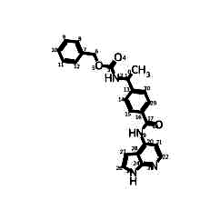 CC(NC(=O)OCc1ccccc1)c1ccc(C(=O)Nc2ccnc3[nH]ccc23)cc1